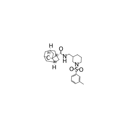 Cc1cccc(S(=O)(=O)N2CCCC(CNC(=O)[C@]34C[C@@H]5CC6C[C@H](C3)C4(C6)C5)C2)c1